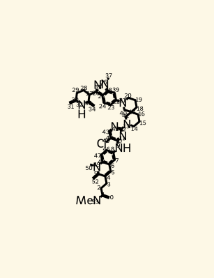 C=C(CCC1=Cc2cc(Nc3nc(N4CCCC5(CCCN(c6ccc7c(C8CCC(=C)NC8=C)nn(C)c7c6)C5)C4)ncc3Cl)ccc2N(C)C1=C)NC